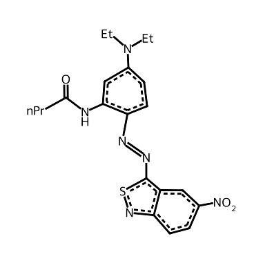 CCCC(=O)Nc1cc(N(CC)CC)ccc1/N=N/c1snc2ccc([N+](=O)[O-])cc12